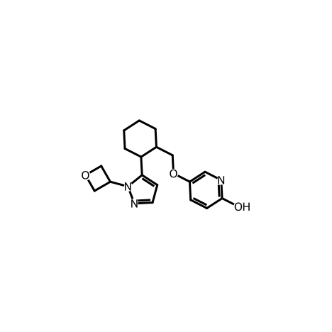 Oc1ccc(OCC2CCCCC2c2ccnn2C2COC2)cn1